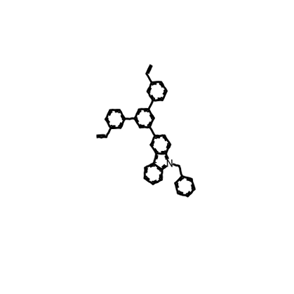 C=Cc1cccc(-c2cc(-c3cccc(C=C)c3)cc(-c3ccc4c(c3)c3ccccc3n4Cc3ccccc3)c2)c1